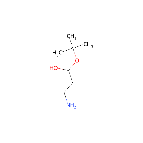 CC(C)(C)OC(O)CCN